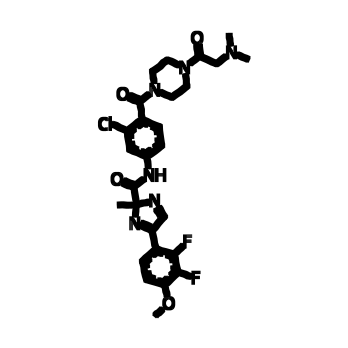 COc1ccc(C2=NC(C)(C(=O)Nc3ccc(C(=O)N4CCN(C(=O)CN(C)C)CC4)c(Cl)c3)N=C2)c(F)c1F